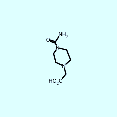 NC(=O)N1CCN(CC(=O)O)CC1